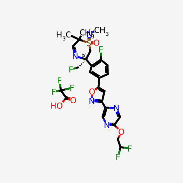 CN=S1(=O)C[C@@](CF)(c2cc(-c3cc(-c4cnc(OCC(F)F)cn4)no3)ccc2F)N=CC1(C)C.O=C(O)C(F)(F)F